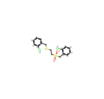 O=S(=O)([CH]CSCc1ccccc1Cl)Cc1ccccc1Cl